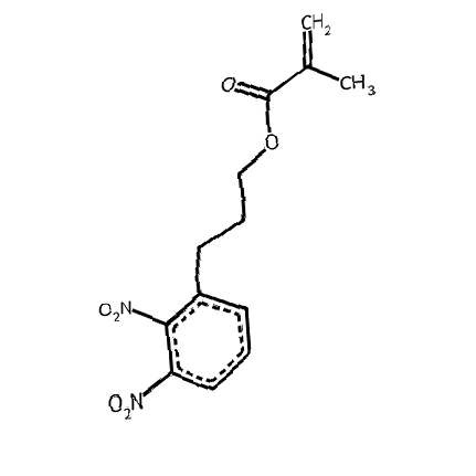 C=C(C)C(=O)OCCCc1cccc([N+](=O)[O-])c1[N+](=O)[O-]